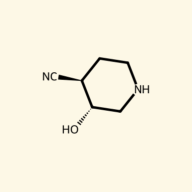 N#C[C@H]1CCNC[C@@H]1O